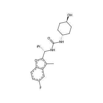 Cc1c([C@@H](NC(=O)N[C@H]2CC[C@H](O)CC2)C(C)C)oc2ccc(F)cc12